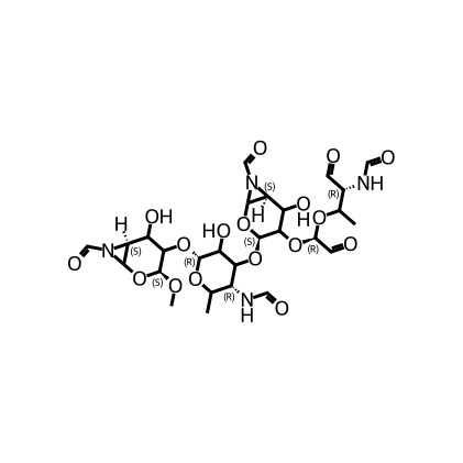 CO[C@H]1OC2[C@H](C(O)C1O[C@H]1OC(C)[C@@H](NC=O)C(O[C@H]3OC4[C@H](C(O)C3O[C@H](C=O)OC(C)[C@H](C=O)NC=O)N4C=O)C1O)N2C=O